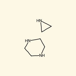 C1CN1.C1CNCCN1